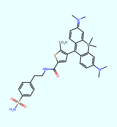 CN(C)c1ccc2c(c1)[Si](C)(C)C1=CC(=[N+](C)C)C=CC1=C2c1cc(C(=O)NCCc2ccc(S(N)(=O)=O)cc2)sc1C(=O)O